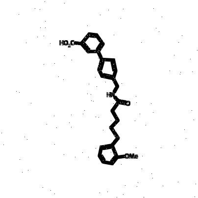 COc1ccccc1CCCCC(=O)NCc1ccc(-c2cccc(C(=O)O)c2)cc1